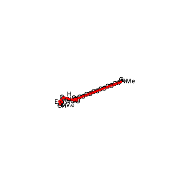 CCC(COC(=O)CCCC(=O)NCCSC1CC(=O)N(CCOCCOCCOCCOCCOCCOCCOCCOCCOCCOCCOCCOCCC(=O)NC)C1=O)OC(CO)OC